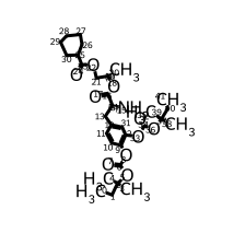 CCC(C)(C)OC(=O)Oc1ccc(C[C@H](N)C(=O)O[C@@H](C)COC(=O)C2CCCCC2)cc1OC(=O)OC(C)(C)CC